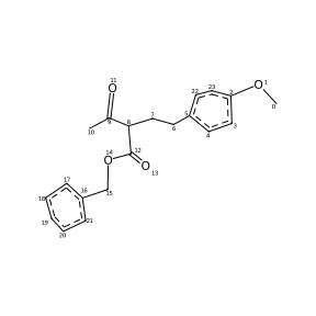 COc1ccc(CCC(C(C)=O)C(=O)OCc2ccccc2)cc1